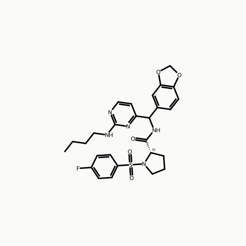 CCCCNc1nccc(C(NC(=O)[C@@H]2CCCN2S(=O)(=O)c2ccc(F)cc2)c2ccc3c(c2)OCO3)n1